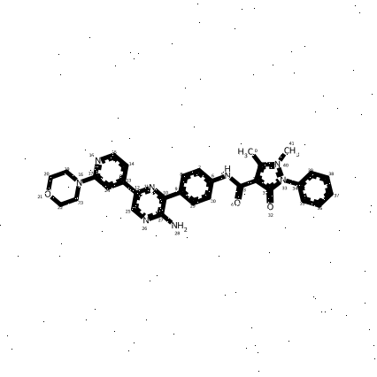 Cc1c(C(=O)Nc2ccc(-c3nc(-c4ccnc(N5CCOCC5)c4)cnc3N)cc2)c(=O)n(-c2ccccc2)n1C